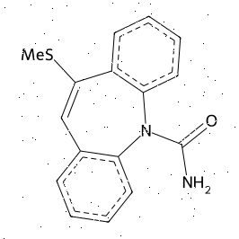 CSC1=Cc2ccccc2N(C(N)=O)c2ccccc21